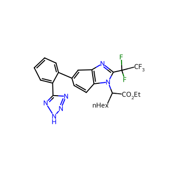 CCCCCCC(C(=O)OCC)n1c(C(F)(F)C(F)(F)F)nc2cc(-c3ccccc3-c3nn[nH]n3)ccc21